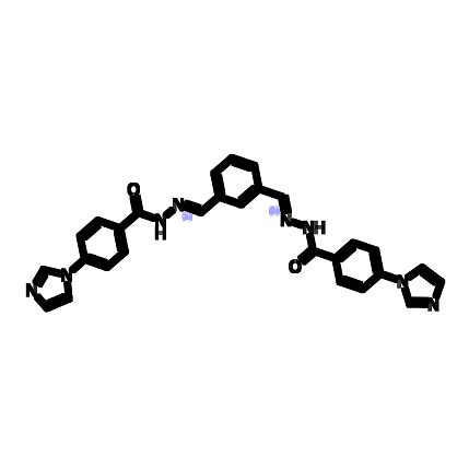 O=C(N/N=C/c1cccc(/C=N/NC(=O)c2ccc(-n3ccnc3)cc2)c1)c1ccc(-n2ccnc2)cc1